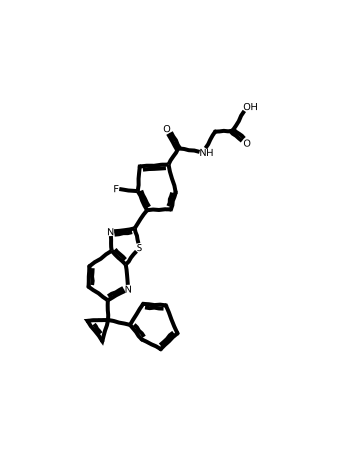 O=C(O)CNC(=O)c1ccc(-c2nc3ccc(C4(c5ccccc5)C=C4)nc3s2)c(F)c1